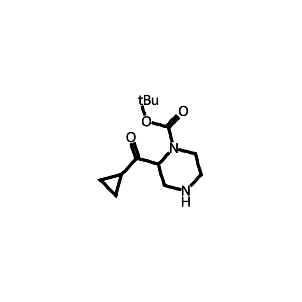 CC(C)(C)OC(=O)N1CCNCC1C(=O)C1CC1